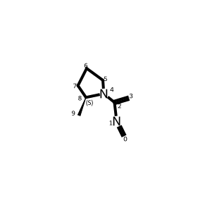 C=NC(=C)N1CCC[C@@H]1C